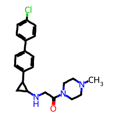 CN1CCN(C(=O)CNC2CC2c2ccc(-c3ccc(Cl)cc3)cc2)CC1